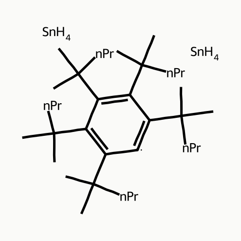 CCCC(C)(C)c1[c]c(C(C)(C)CCC)c(C(C)(C)CCC)c(C(C)(C)CCC)c1C(C)(C)CCC.[SnH4].[SnH4]